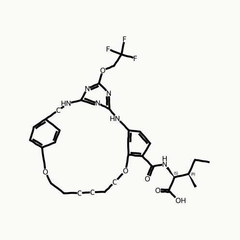 CC[C@@H](C)[C@H](NC(=O)c1ccc2cc1OCCCCCCOc1ccc(cc1)CNc1nc(nc(OCC(F)(F)F)n1)N2)C(=O)O